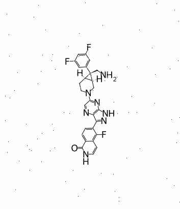 NC[C@]1(c2cc(F)cc(F)c2)[C@@H]2CCN(c3cnc4c(-c5ccc6c(=O)[nH]ccc6c5F)n[nH]c4n3)C[C@@H]21